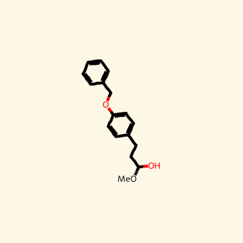 COC(O)CCc1ccc(OCc2ccccc2)cc1